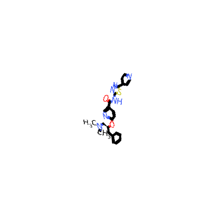 CN(C)C[C@H](Cc1ccccc1)Oc1ccc(C(=O)Nc2nnc(-c3ccncc3)s2)cn1